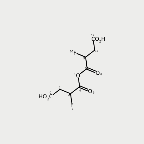 O=C(O)CC(F)C(=O)OC(=O)C(F)CC(=O)O